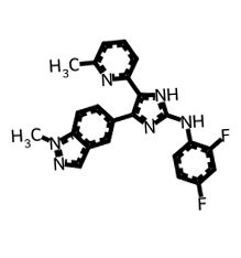 Cc1cccc(-c2[nH]c(Nc3ccc(F)cc3F)nc2-c2ccc3c(cnn3C)c2)n1